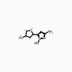 CC(C)(C)n1nc(N)cc1C1CC(O)CO1